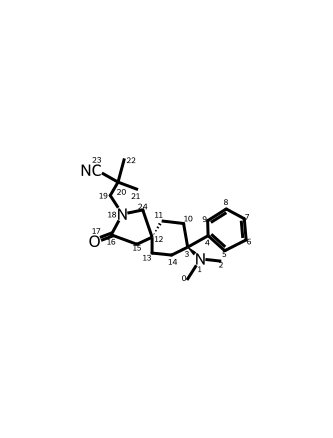 CN(C)[C@]1(c2ccccc2)CC[C@]2(CC1)CC(=O)N(CC(C)(C)C#N)C2